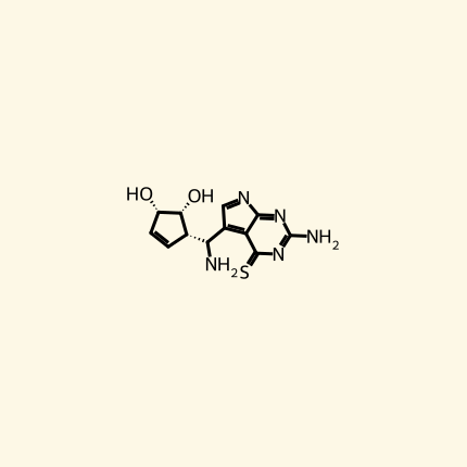 NC1=NC(=S)C2=C(C(N)[C@@H]3C=C[C@H](O)[C@@H]3O)C=NC2=N1